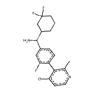 Cc1nccc(Cl)c1-c1ccc(C(N)C2CCCC(F)(F)C2)cc1F